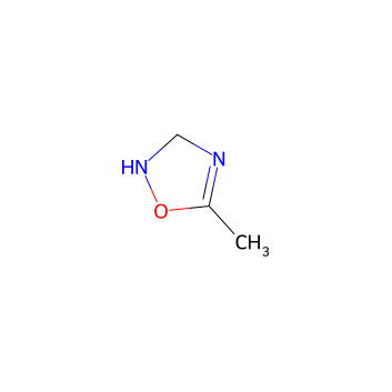 CC1=NCNO1